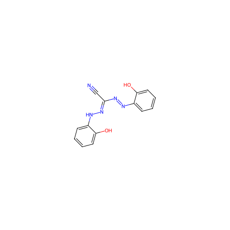 N#CC(N=Nc1ccccc1O)=NNc1ccccc1O